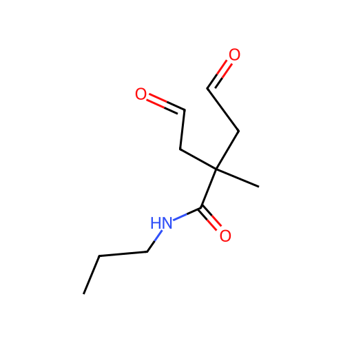 CCCNC(=O)C(C)(CC=O)CC=O